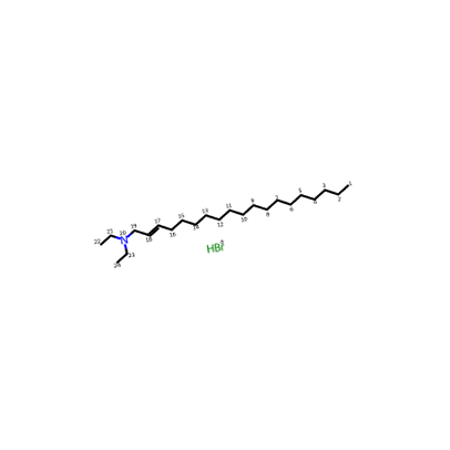 Br.CCCCCCCCCCCCCCCCC=CCN(CC)CC